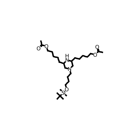 CC(=O)OCCCCCC1CN(CCCCO[Si](C)(C)C(C)(C)C)CC(CCCCCOC(C)=O)N1